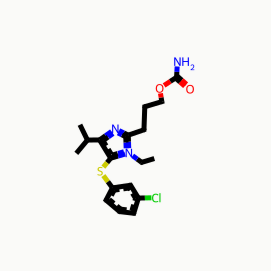 CCn1c(CCCOC(N)=O)nc(C(C)C)c1Sc1cccc(Cl)c1